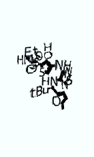 CCNS(=O)(=O)c1scc(Nc2nsnc2N[C@@H](c2ccc(C)o2)C(C)(C)C)c1O